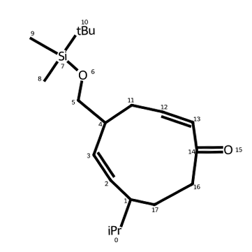 CC(C)C1C=CC(CO[Si](C)(C)C(C)(C)C)CC=CC(=O)CC1